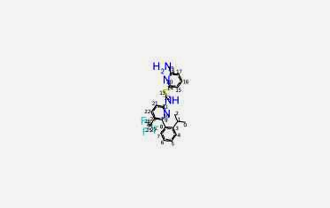 CC(C)c1ccccc1-c1nc(NSc2cccc(N)n2)ccc1C(F)(F)F